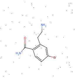 NCCc1cc(Br)ccc1C(N)=O